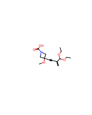 C=C(C#CC1(OC)CN(C(=O)O)C1)C(OCC)OCC